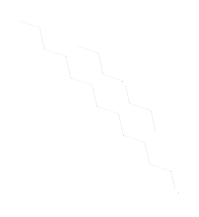 CCCCCCCCCCCC[O].CCCOCCC